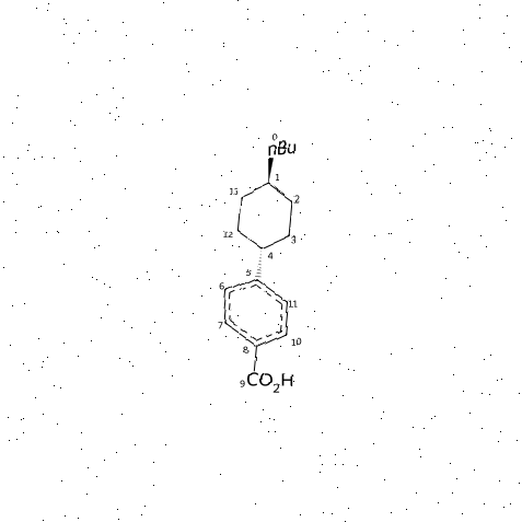 CCCC[C@H]1CC[C@H](c2ccc(C(=O)O)cc2)CC1